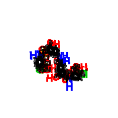 O=C(Nc1ccc2c(O)cc(S(=O)(=O)Nc3ccc(Cl)c(S(=O)(=O)O)c3)cc2c1)Nc1ccc2c(O)cc(S(=O)(=O)Nc3ccc(Cl)c(S(=O)(=O)O)c3)cc2c1